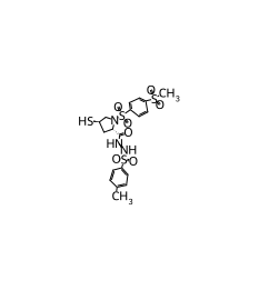 Cc1ccc(S(=O)(=O)NNC(=O)[C@@H]2C[C@@H](S)CN2S(=O)(=O)c2ccc(S(C)(=O)=O)cc2)cc1